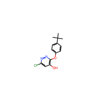 CC(C)(C)c1ccc(Oc2nnc(Cl)cc2O)cc1